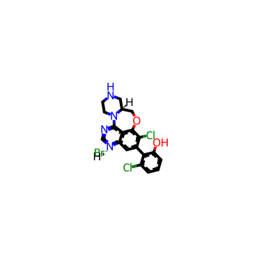 Oc1cccc(Cl)c1-c1cc2ncnc3c2c(c1Cl)OC[C@@H]1CNCCN31.[Br-].[H+]